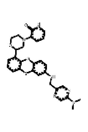 CN(C)c1cnc(CNc2ccc3c(c2)Sc2cccc(C4CN(c5ccc[nH]c5=O)CCO4)c2O3)cn1